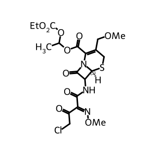 CCOC(=O)OC(C)OC(=O)C1=C(COC)CS[C@H]2C(NC(=O)C(=NOC)C(=O)CCl)C(=O)N12